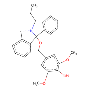 CCCN1Cc2ccccc2C1(OCc1cc(OC)c(O)c(OC)c1)c1ccccc1